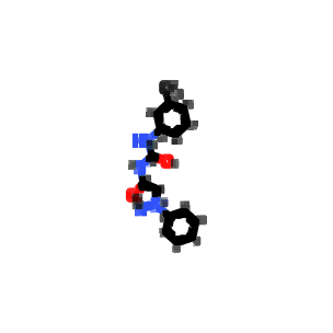 O=C([N-]c1c[n+](-c2ccccc2)no1)Nc1cccc(C(F)(F)F)c1